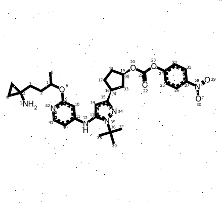 CC(CCC1(N)CC1)Oc1cc(Nc2cc([C@H]3CC[C@@H](OC(=O)Oc4ccc([N+](=O)[O-])cc4)C3)nn2C(C)(C)C)ccn1